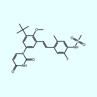 COc1c(/C=C/c2cc(F)c(NS(C)(=O)=O)cc2C)cc(-n2ccc(=O)[nH]c2=O)cc1C(C)(C)C